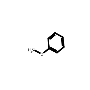 [SiH3]Oc1[c]cccc1